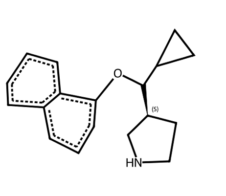 c1ccc2c(OC(C3CC3)[C@H]3CCNC3)cccc2c1